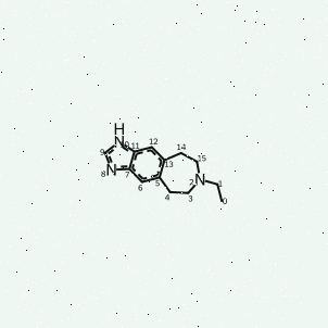 CCN1CCc2cc3nc[nH]c3cc2CC1